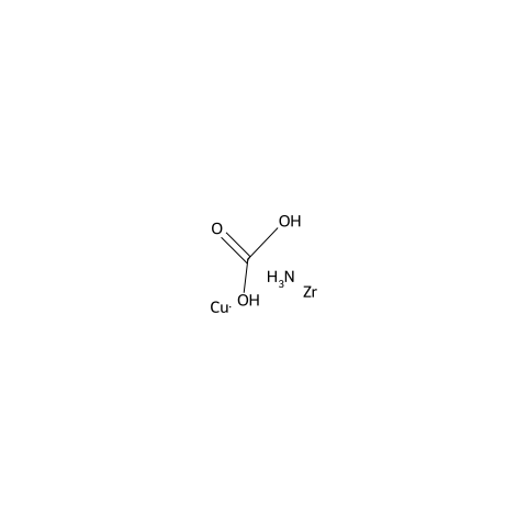 N.O=C(O)O.[Cu].[Zr]